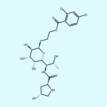 CCC[C@H]1CN[C@H](C(=O)N[C@@H]([C@H]2O[C@H](SCCOC(=O)c3ccc(Cl)cc3Cl)[C@H](O)[C@@H](O)[C@H]2O)[C@@H](C)O)C1